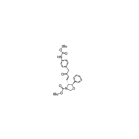 CC(C)(C)OC(=O)Nc1ccc(CC(=O)/C=C/[C@@H]2[C@@H](c3ccccc3)OCN2C(=O)OC(C)(C)C)cc1